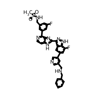 CS(=O)(=O)NCc1cc(F)cc(-c2nccc3[nH]c(-c4n[nH]c5c(F)cc(-c6cncc(CNCc7ccccc7)c6)cc45)nc23)c1